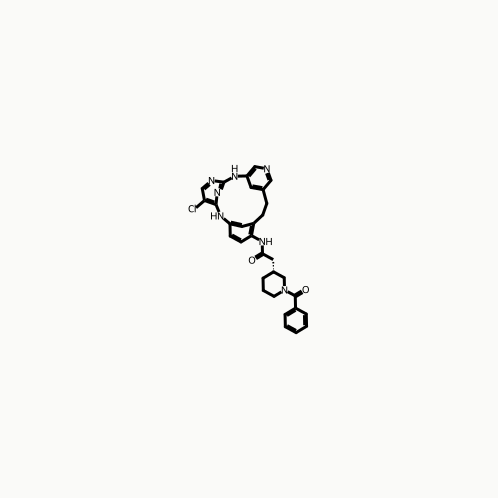 O=C(C[C@H]1CCCN(C(=O)c2ccccc2)C1)Nc1ccc2cc1CCc1cncc(c1)Nc1ncc(Cl)c(n1)N2